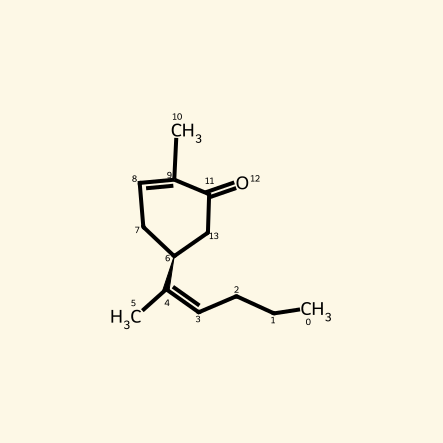 CCC/C=C(/C)[C@H]1CC=C(C)C(=O)C1